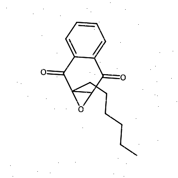 CCCCCCC12OC1C(=O)c1ccccc1C2=O